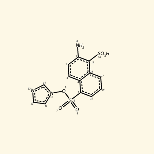 Nc1ccc2c(S(=O)(=O)On3ccnc3)cccc2c1S(=O)(=O)O